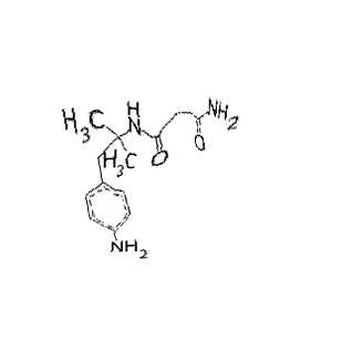 CC(C)(Cc1ccc(N)cc1)NC(=O)CC(N)=O